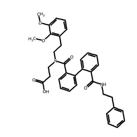 COc1cccc(CCN(CCC(=O)O)C(=O)c2ccccc2-c2ccccc2C(=O)NCCc2ccccc2)c1OC